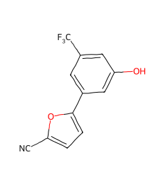 N#Cc1ccc(-c2cc(O)cc(C(F)(F)F)c2)o1